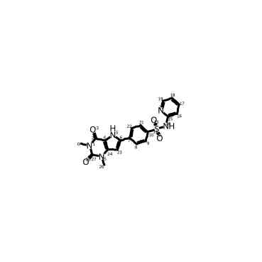 Cn1c(=O)c2[nH]c(-c3ccc(S(=O)(=O)Nc4ccccn4)cc3)cc2n(C)c1=O